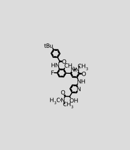 Cc1c(-c2cc(Nc3ccc(C(O)C(=O)N(C)C)cn3)c(=O)n(C)n2)ccc(F)c1NC(=O)c1ccc(C(C)(C)C)cc1